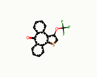 O=c1c2ccccc2c2scc(OC(F)(F)F)c2c2ccccc12